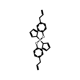 C=CCc1ccc([O][Zr]([O]c2ccc(CC=C)cc2)([CH]2C=CC=C2)[CH]2C=CC=C2)cc1